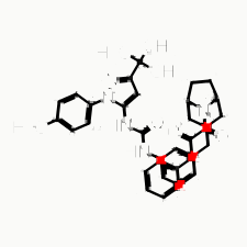 Cc1ccc(-n2nc(C(C)(C)C)cc2NC(=O)Nc2cccc(CC3CC4CCC(C3)N4C(=O)C(=O)Cc3ccccc3)c2)cc1